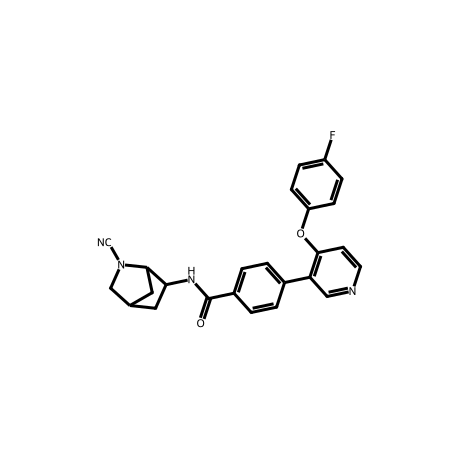 N#CN1CC2CC(NC(=O)c3ccc(-c4cnccc4Oc4ccc(F)cc4)cc3)C1C2